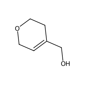 OCC1=CCOCC1